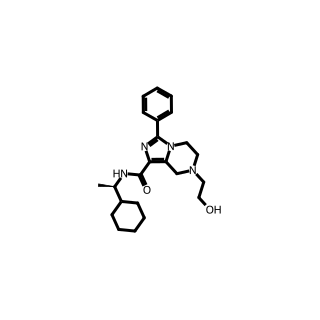 C[C@@H](NC(=O)c1nc(-c2ccccc2)n2c1CN(CCO)CC2)C1CCCCC1